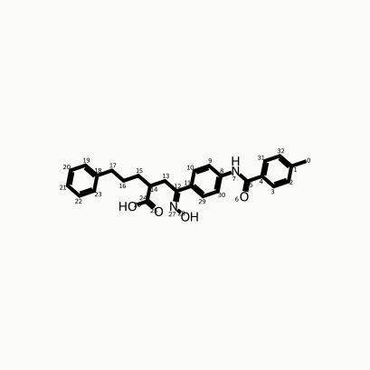 Cc1ccc(C(=O)Nc2ccc(C(CC(CCCc3ccccc3)C(=O)O)=NO)cc2)cc1